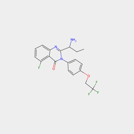 CCC(N)c1nc2cccc(F)c2c(=O)n1-c1ccc(OCC(F)(F)F)cc1